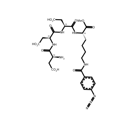 COC(=O)[C@H](CCCCNC(=O)c1ccc(N=[N+]=[N-])cc1)NC(=O)[C@H](CC(=O)O)NC(=O)[C@H](CC(=O)O)NC(=O)[C@@H](N)CC(=O)O